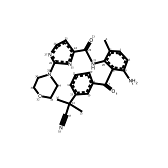 Cc1ccc(N)c(C(=O)c2cccc(C(C)(C)C#N)c2)c1NC(=O)c1ccnc(N2CCOCC2)n1